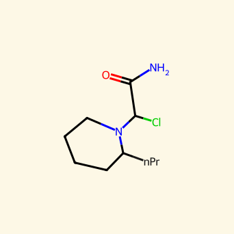 CCCC1CCCCN1C(Cl)C(N)=O